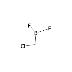 FB(F)CCl